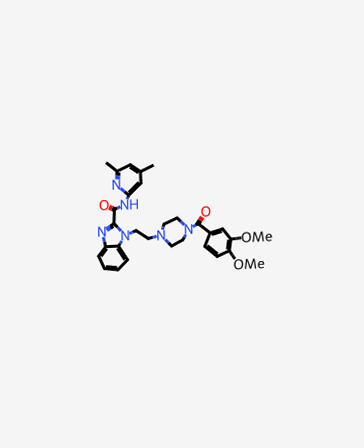 COc1ccc(C(=O)N2CCN(CCn3c(C(=O)Nc4cc(C)cc(C)n4)nc4ccccc43)CC2)cc1OC